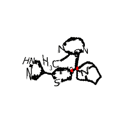 Cc1nccnc1C1(O)CC2CCC(C1)N2C(=O)c1csc(-c2cn[nH]c2)c1